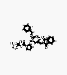 CC(C)(C)OC(=O)N1CCC[C@H]1CN(CC(=O)CN1C(=O)c2ccccc2C1=O)C(=O)OCc1ccccc1